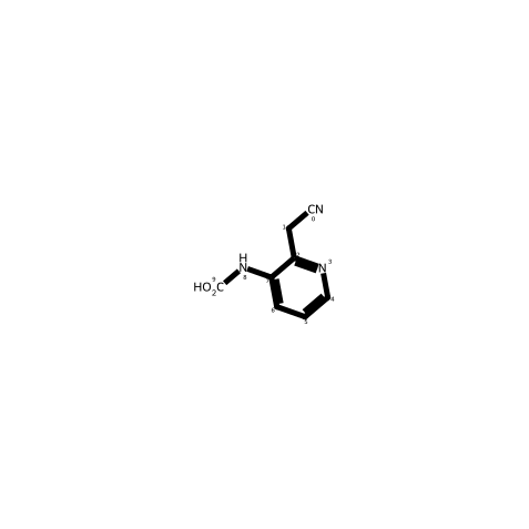 N#CCc1ncccc1NC(=O)O